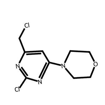 ClCc1cc(N2CCOCC2)nc(Cl)n1